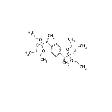 C=C(c1ccc(C(=C)[Si](OCC)(OCC)OCC)cc1)[Si](OCC)(OCC)OCC